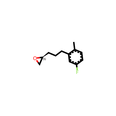 Cc1ccc(F)cc1CCC[C@H]1CO1